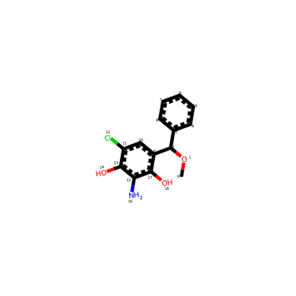 COC(c1ccccc1)c1cc(Cl)c(O)c(N)c1O